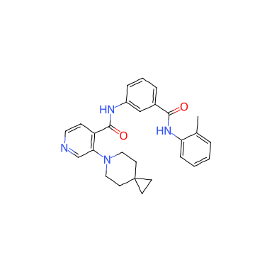 Cc1ccccc1NC(=O)c1cccc(NC(=O)c2ccncc2N2CCC3(CC2)CC3)c1